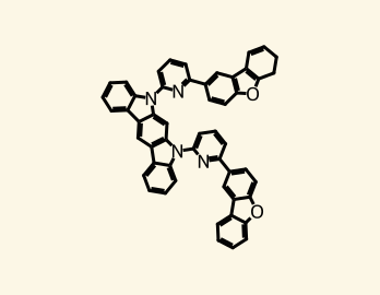 C1=Cc2c(oc3ccc(-c4cccc(-n5c6ccccc6c6cc7c8ccccc8n(-c8cccc(-c9ccc%10oc%11ccccc%11c%10c9)n8)c7cc65)n4)cc23)CC1